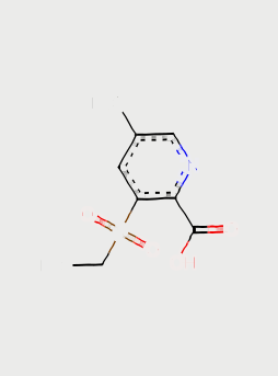 CCS(=O)(=O)c1cc(C)cnc1C(=O)O